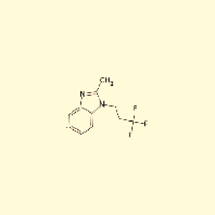 Cc1nc2c[c]ccc2n1CCC(F)(F)F